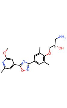 COc1cc(-c2nc(-c3cc(C)c(OC[C@@H](O)CN)c(C)c3)no2)cc(C)n1